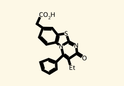 CCc1c(-c2ccccc2)n2c(nc1=O)sc1cc(CC(=O)O)ccc12